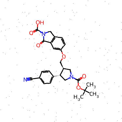 CC(C)(C)OC(=O)N1C[C@H](COc2ccc3c(c2)C(=O)N(C(=O)O)C3)[C@@H](c2ccc(C#N)cc2)C1